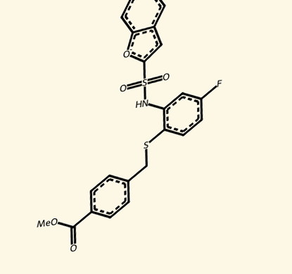 COC(=O)c1ccc(CSc2ccc(F)cc2NS(=O)(=O)c2cc3ccccc3o2)cc1